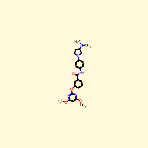 COc1cc(OC)nc(Oc2cccc(C(=O)Nc3ccc(N4CCC(N(C)C)C4)cc3)c2)n1